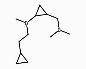 CB(C)CC1CC1B(C)CCC1CC1